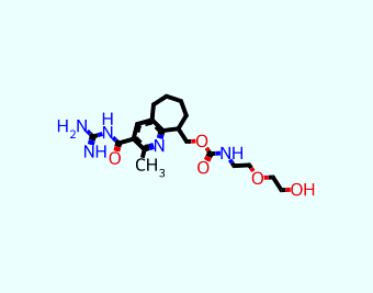 Cc1nc2c(cc1C(=O)NC(=N)N)CCCCC2COC(=O)NCCOCCO